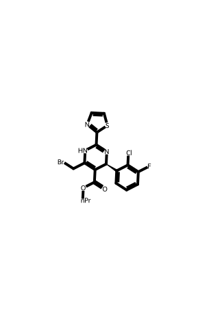 CCCOC(=O)C1=C(CBr)NC(c2nccs2)=N[C@H]1c1cccc(F)c1Cl